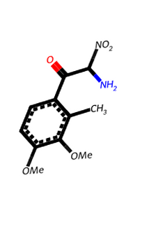 COc1ccc(C(=O)C(N)[N+](=O)[O-])c(C)c1OC